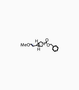 CO/C=C/C1[C@H]2CN(C(=O)OCc3ccccc3)C[C@@H]12